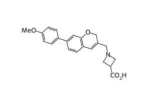 COc1ccc(-c2ccc3c(c2)OCC(CN2CC(C(=O)O)C2)=C3)cc1